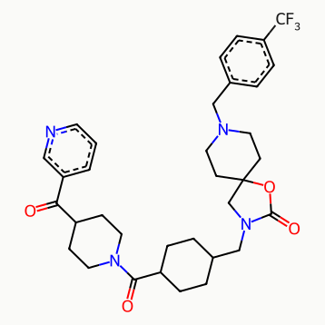 O=C(c1cccnc1)C1CCN(C(=O)C2CCC(CN3CC4(CCN(Cc5ccc(C(F)(F)F)cc5)CC4)OC3=O)CC2)CC1